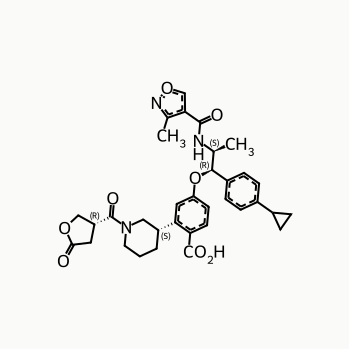 Cc1nocc1C(=O)N[C@@H](C)[C@H](Oc1ccc(C(=O)O)c([C@@H]2CCCN(C(=O)[C@H]3COC(=O)C3)C2)c1)c1ccc(C2CC2)cc1